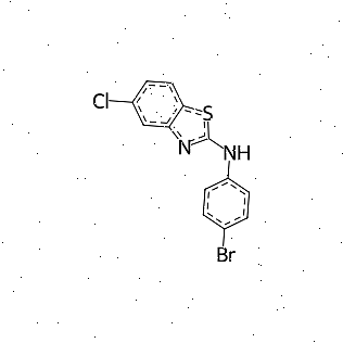 Clc1ccc2sc(Nc3ccc(Br)cc3)nc2c1